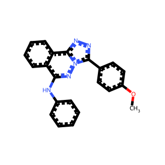 COc1ccc(-c2nnc3c4ccccc4c(Nc4ccccc4)nn23)cc1